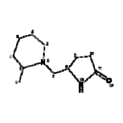 CC1CCCCN1CC1CCC(=O)N1